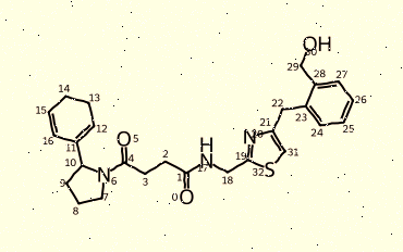 O=C(CCC(=O)N1CCCC1C1=CCCC=C1)NCc1nc(Cc2ccccc2CO)cs1